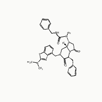 CCCN(C(=O)NCc1ccccc1)N1CC(=O)N2[C@@H](Cc3ccccc3)C(=O)N(Cc3cccc4sc(N(C)C)nc34)C[C@@H]21